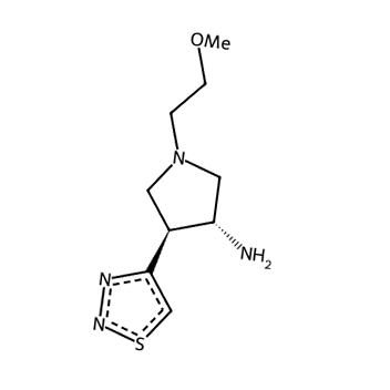 COCCN1C[C@H](c2csnn2)[C@@H](N)C1